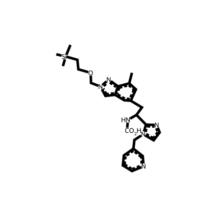 Cc1cc(CC(NC(=O)O)c2nccn2Cc2cccnc2)cc2cn(COCC[Si](C)(C)C)nc12